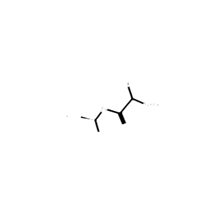 CNC(C(=O)N[C@@H](C)C(=O)O)C(C)C